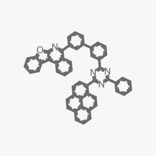 c1ccc(-c2nc(-c3cccc(-c4cccc(-c5nc6oc7ccccc7c6c6ccccc56)c4)c3)nc(-c3ccc4ccc5cccc6ccc3c4c56)n2)cc1